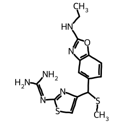 CCNc1nc2cc(C(SC)c3csc(N=C(N)N)n3)ccc2o1